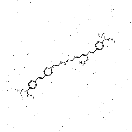 C=CC(/C=C/c1ccc(N(C)C)cc1)=C\C=N\CCSSCC[n+]1ccc(/C=C/c2ccc(N(C)C)cc2)cc1